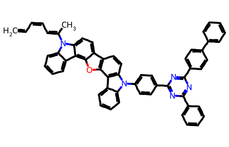 C=C/C=C\C=C(/C)n1c2ccccc2c2c3oc4c(ccc5c4c4ccccc4n5-c4ccc(-c5nc(-c6ccccc6)nc(-c6ccc(-c7ccccc7)cc6)n5)cc4)c3ccc21